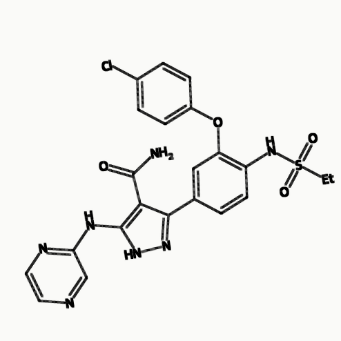 CCS(=O)(=O)Nc1ccc(-c2n[nH]c(Nc3cnccn3)c2C(N)=O)cc1Oc1ccc(Cl)cc1